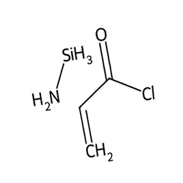 C=CC(=O)Cl.N[SiH3]